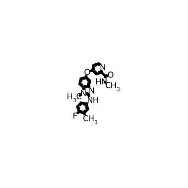 CNC(=O)c1cc(Oc2ccc3c(c2)nc(Nc2ccc(F)c(C)c2)n3C)ccn1